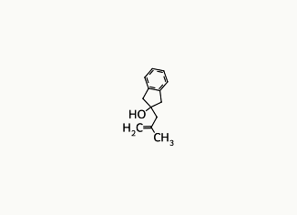 C=C(C)CC1(O)Cc2ccccc2C1